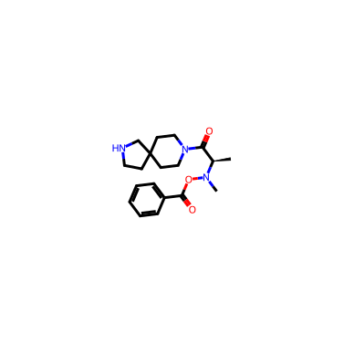 C[C@H](C(=O)N1CCC2(CCNC2)CC1)N(C)OC(=O)c1ccccc1